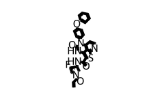 C=CC(=O)N1CC(NC(=O)c2sc3nccc4c3c2NC(=O)N4c2ccc(Oc3ccccc3)cc2)[C@@H](F)C1